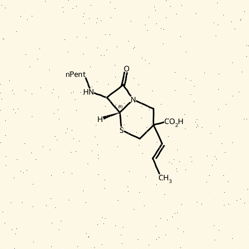 CC=CC1(C(=O)O)CS[C@@H]2C(NCCCCC)C(=O)N2C1